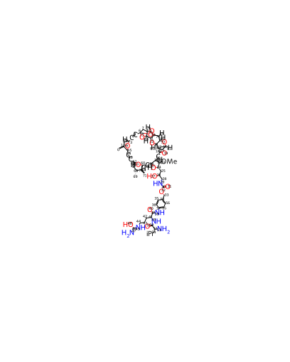 C=C1C[C@@H]2CC[C@@]34C[C@H]5OC6C(O[C@H]7CC[C@H](CC(=O)C[C@@H]8[C@@H](OC)[C@@H](C[C@H](O)CNC(=O)OCc9ccc(NC(=O)[C@H](CCCNC(N)O)NC(=O)[C@@H](N)C(C)C)cc9)O[C@H]8C[C@H]8O[C@@H](CCC1O2)C[C@@H](C)C8=C)O[C@@H]7[C@@H]6O3)[C@H]5O4